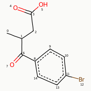 CC(CC(=O)O)C(=O)c1ccc(Br)cc1